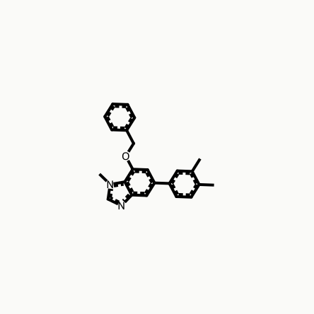 Cc1ccc(-c2cc(OCc3ccccc3)c3c(c2)ncn3C)cc1C